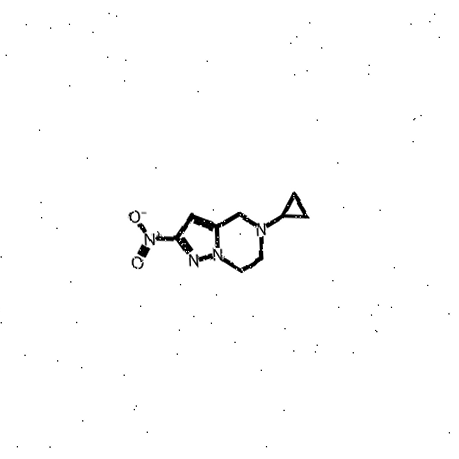 O=[N+]([O-])c1cc2n(n1)CCN(C1CC1)C2